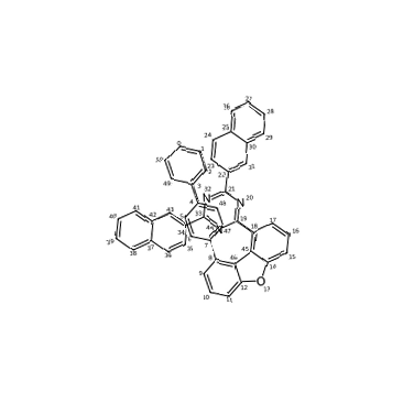 c1ccc(-c2ccc(-c3cccc4oc5cccc(-c6nc(-c7ccc8ccccc8c7)nc(-c7ccc8ccccc8c7)n6)c5c34)cc2)cc1